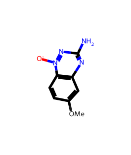 COc1ccc2c(c1)nc(N)n[n+]2[O-]